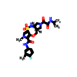 Cc1cc(NC(=O)c2c3c(cn2C)S(=O)(=O)N[C@H]2CN(C(=O)C(=O)NC(C)C(F)(F)F)C[C@H]2CO3)ccc1F